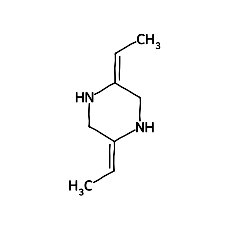 CC=C1CNC(=CC)CN1